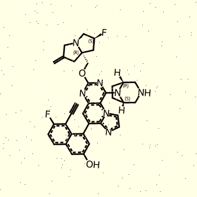 C#Cc1c(F)ccc2cc(O)cc(-c3cc4nc(OC[C@]56CC(=C)CN5C[C@@H](F)C6)nc(N5[C@@H]6CC[C@H]5CNC6)c4n4ccnc34)c12